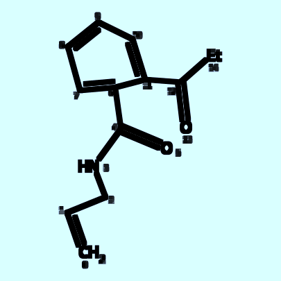 C=CCNC(=O)c1ccccc1C(=O)CC